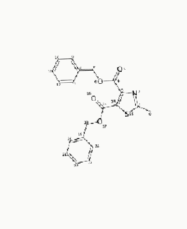 Cc1nc(C(=O)OCc2ccccc2)c(C(=O)OCc2ccccc2)s1